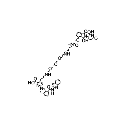 O=C(COc1cccc2c1C(O)N(C1CCC(=O)NC1=O)C2=O)NCCCCNCCOCCOCCOCCNCCCc1sc(N2CCc3cccc(C(=O)Nc4nc5ccccc5s4)c3C2)nc1C(=O)O